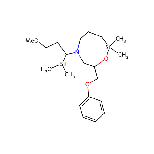 COCCC(N1CCC[Si](C)(C)OC(COc2ccccc2)C1)[SiH](C)C